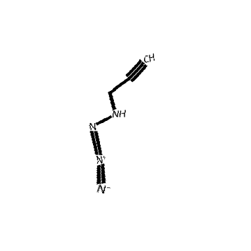 C#CCNN=[N+]=[N-]